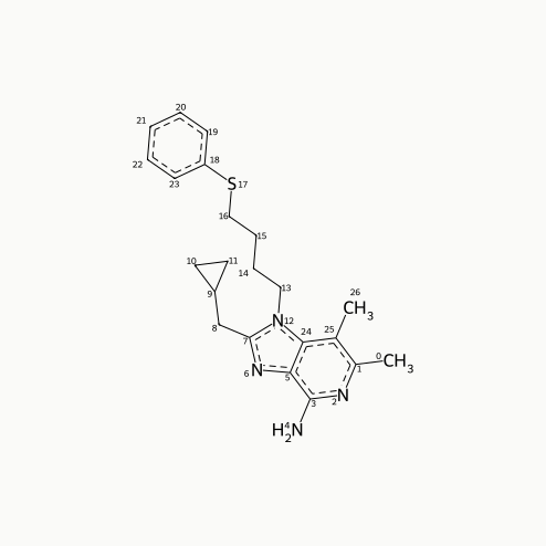 Cc1nc(N)c2nc(CC3CC3)n(CCCCSc3ccccc3)c2c1C